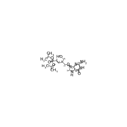 CC(C)OP(=O)(C=CC(CO)CON1CNc2c1nc(N)[nH]c2=O)OC(C)C